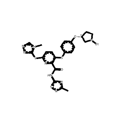 CCN1CC[C@@H](Oc2ccc(Sc3ccc(Sc4nncn4C)nc3C(=O)Nc3nc(C)ns3)cc2)C1